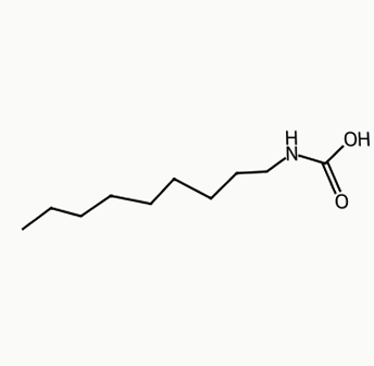 CCCCCCCCCNC(=O)O